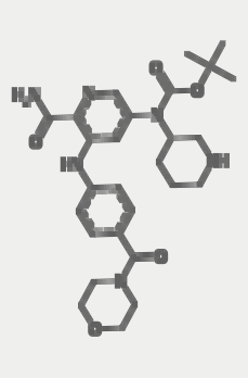 CC(C)(C)OC(=O)N(c1cnc(C(N)=O)c(Nc2ccc(C(=O)N3CCOCC3)cc2)c1)C1CCCNC1